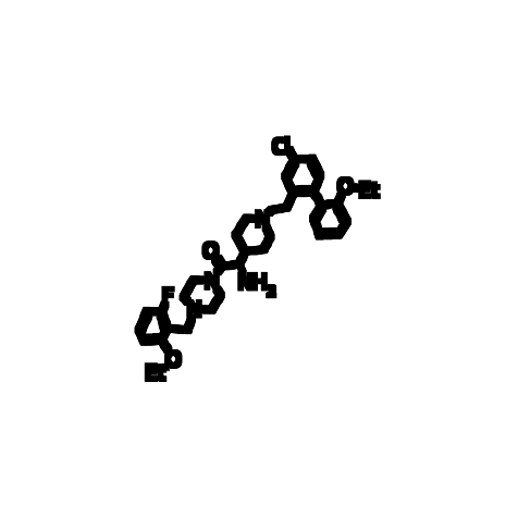 CCOc1ccccc1-c1ccc(Cl)cc1CCN1CCC([C@@H](N)C(=O)N2CCN(Cc3c(F)cccc3OCC)CC2)CC1